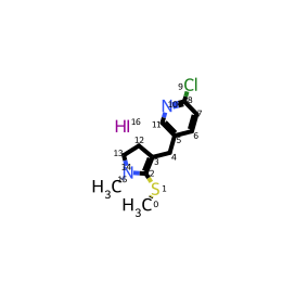 CSC1=C(Cc2ccc(Cl)nc2)CCN1C.I